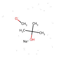 CC(C)(C)O.C[O-].[Na+]